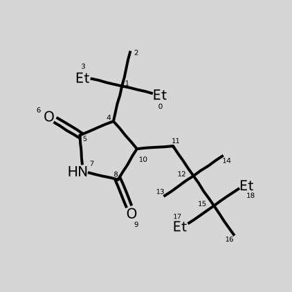 CCC(C)(CC)C1C(=O)NC(=O)C1CC(C)(C)C(C)(CC)CC